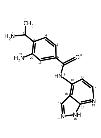 CC(N)c1ccc(C(=O)Nc2ccnc3[nH]ncc23)cc1N